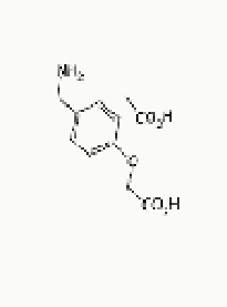 CC(=O)O.NCc1ccc(OCC(=O)O)cc1